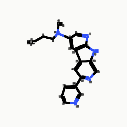 CCCN(C)c1cnc2[nH]c3cnc(-c4cccnc4)cc3c2c1